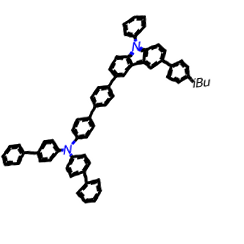 CCC(C)c1ccc(-c2ccc3c(c2)c2cc(-c4ccc(-c5ccc(N(c6ccc(-c7ccccc7)cc6)c6ccc(-c7ccccc7)cc6)cc5)cc4)ccc2n3-c2ccccc2)cc1